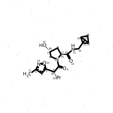 Cc1cc([C@H](C(=O)N2C[C@H](O)C[C@H]2C(=O)NCC2C3CC2C3)C(C)C)on1